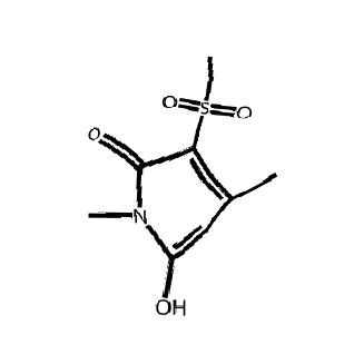 Cc1cc(O)n(C)c(=O)c1S(C)(=O)=O